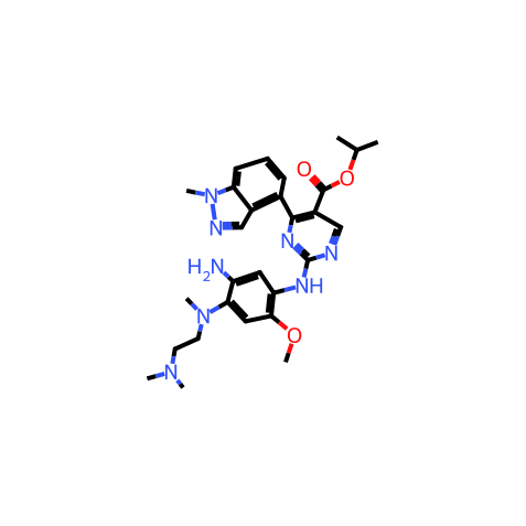 COc1cc(N(C)CCN(C)C)c(N)cc1Nc1ncc(C(=O)OC(C)C)c(-c2cccc3c2cnn3C)n1